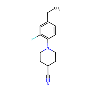 CCc1ccc(N2CCC(C#N)CC2)c(F)c1